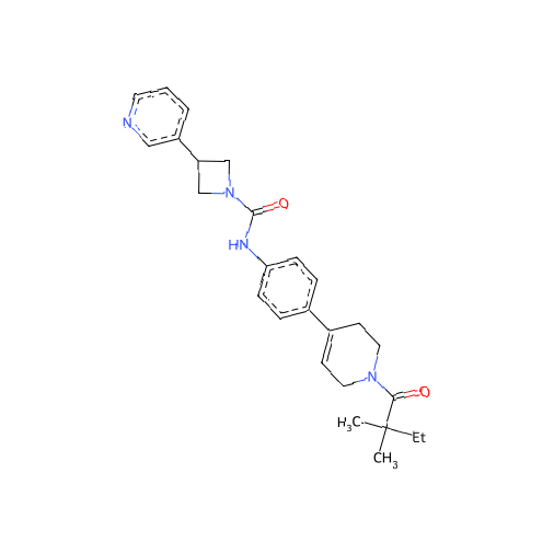 CCC(C)(C)C(=O)N1CC=C(c2ccc(NC(=O)N3CC(c4cccnc4)C3)cc2)CC1